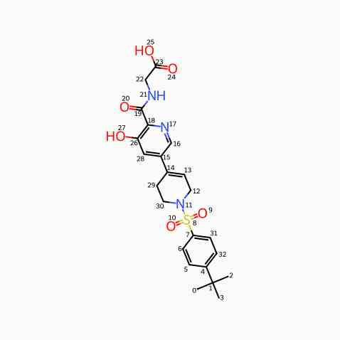 CC(C)(C)c1ccc(S(=O)(=O)N2CC=C(c3cnc(C(=O)NCC(=O)O)c(O)c3)CC2)cc1